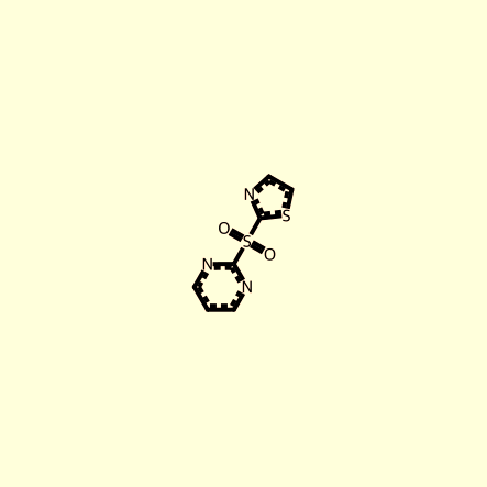 O=S(=O)(c1ncccn1)c1nccs1